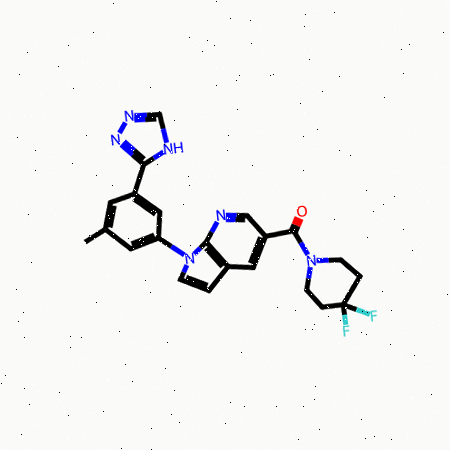 Cc1cc(-c2nnc[nH]2)cc(-n2ccc3cc(C(=O)N4CCC(F)(F)CC4)cnc32)c1